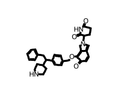 O=C1CCC(N2C=C3C=CC(=O)C(OCc4ccc(C(Cc5ccccc5)C5CCNCC5)cc4)=C3C2)C(=O)N1